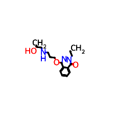 C=CCn1nc(OCCCNCC(=C)O)c2ccccc2c1=O